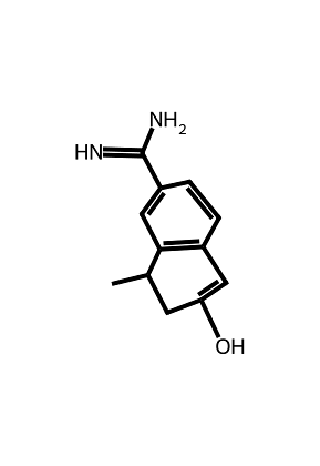 CC1CC(O)=Cc2ccc(C(=N)N)cc21